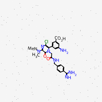 CNN(C)c1nc(Cl)c(-c2cc(N)cc(C(=O)O)c2)n(CC(=O)NCc2ccc(C(=N)N)cc2)c1=O